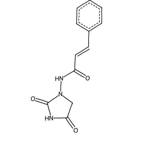 O=C(C=Cc1ccccc1)NN1CC(=O)NC1=O